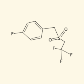 O=S(=O)(Cc1ccc(F)cc1)CC(F)(F)F